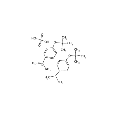 CC(N)c1ccc(OC(C)(C)C)cc1.C[C@H](N)c1ccc(OC(C)(C)C)cc1.O=S(=O)(O)O